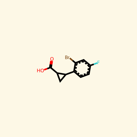 O=C(O)C1CC1c1ccc(F)cc1Br